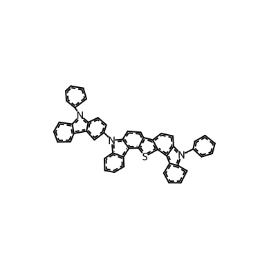 c1ccc(-n2c3ccccc3c3cc(-n4c5ccccc5c5c6sc7c(ccc8c7c7ccccc7n8-c7ccccc7)c6ccc54)ccc32)cc1